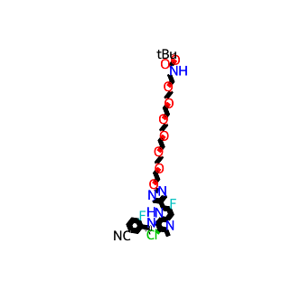 Cc1nc2cc(F)c(-c3cnc(OCCOCCOCCOCCOCCOCCOCCNC(=O)OC(C)(C)C)nc3)nc2c(N[C@H](C)c2cc(C#N)ccc2F)c1Cl